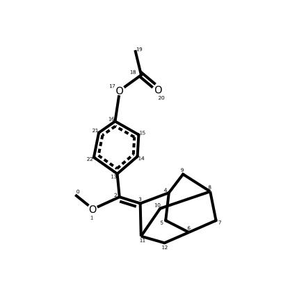 COC(=C1C2CC3CC(C2)CC1C3)c1ccc(OC(C)=O)cc1